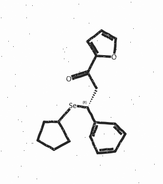 O=C(C[C@@H]([Se]C1CCCC1)c1ccccc1)c1ccco1